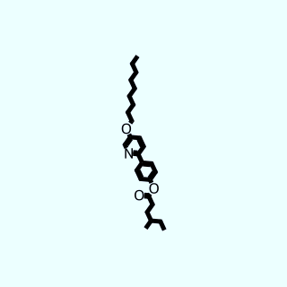 CCCCCCCCCOc1ccc(-c2ccc(OC(=O)CCC(C)CC)cc2)nc1